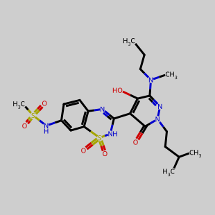 CCCN(C)c1nn(CCC(C)C)c(=O)c(C2=Nc3ccc(NS(C)(=O)=O)cc3S(=O)(=O)N2)c1O